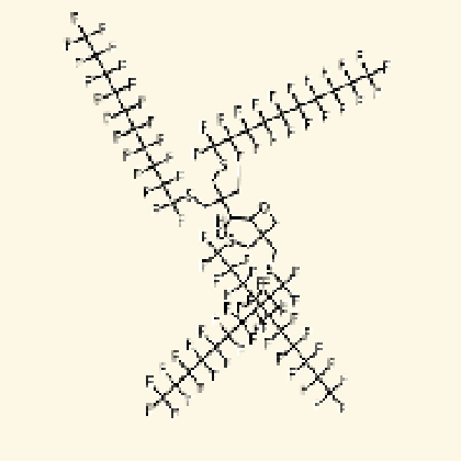 OC(C1OCC1(CSC(F)(F)C(F)(F)C(F)(F)C(F)(F)C(F)(F)C(F)(F)C(F)(F)C(F)(F)C(F)(F)C(F)(F)F)CSC(F)(F)C(F)(F)C(F)(F)C(F)(F)C(F)(F)C(F)(F)C(F)(F)C(F)(F)C(F)(F)C(F)(F)F)C(CI)(CSC(F)(F)C(F)(F)C(F)(F)C(F)(F)C(F)(F)C(F)(F)C(F)(F)C(F)(F)C(F)(F)C(F)(F)F)CSC(F)(F)C(F)(F)C(F)(F)C(F)(F)C(F)(F)C(F)(F)C(F)(F)C(F)(F)C(F)(F)C(F)(F)F